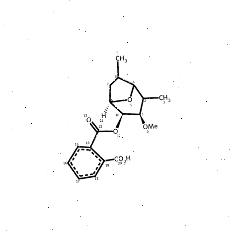 CO[C@@H]1C(C)C2O[C@H](CC2C)[C@@H]1OC(=O)c1ccccc1C(=O)O